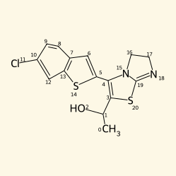 CC(O)C1=C(c2cc3ccc(Cl)cc3s2)N2CCN=C2S1